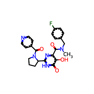 CN(Cc1ccc(F)cc1)C(=O)c1nc(C2CCCN2C(=O)c2ccncc2)[nH]c(=O)c1O